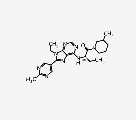 CC[C@@H](Nc1ncnc2c1nc(-c1cnc(C)nc1)n2CC)C(=O)N1CCCC(C)C1